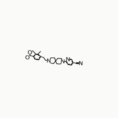 Cc1c(CCN2CCC3(CC2)CCN(c2ccc(C#N)cn2)CC3)ccc2c1COC2=O